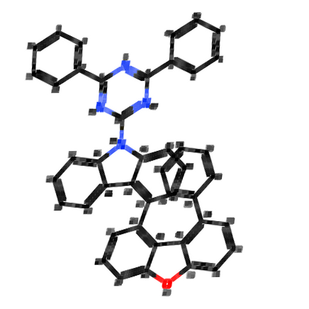 c1ccc(-c2nc(-c3ccccc3)nc(-n3c4ccccc4c4c(-c5cccc6oc7cccc(-c8ccccc8)c7c56)cccc43)n2)cc1